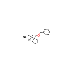 CCC(C)(CC#N)C1(COCc2ccccc2)CCCC1